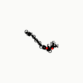 CC1(C)C(=O)N(c2ccc(C#N)c(C(F)(F)F)c2)C(=S)N1c1ccc(OCCOCCOCCOCCN2CCN(C=O)CC2)cc1